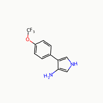 Nc1c[nH]cc1-c1ccc(OC(F)(F)F)cc1